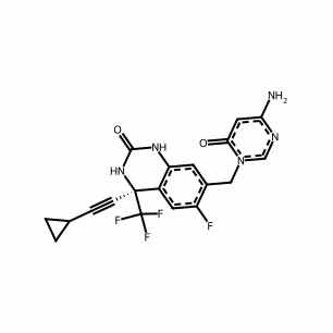 Nc1cc(=O)n(Cc2cc3c(cc2F)[C@@](C#CC2CC2)(C(F)(F)F)NC(=O)N3)cn1